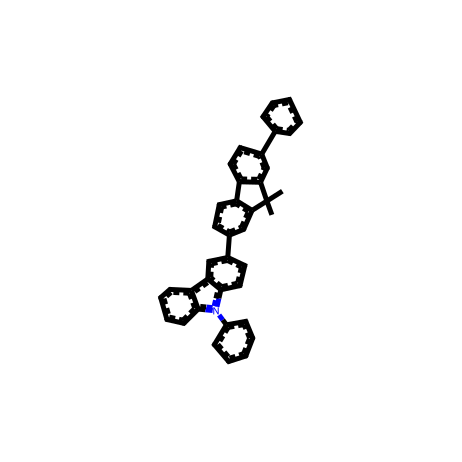 CC1(C)c2cc(-c3ccccc3)ccc2-c2ccc(-c3ccc4c(c3)c3ccccc3n4-c3ccccc3)cc21